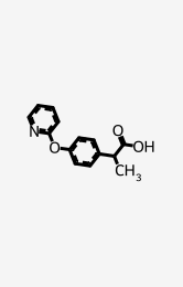 CC(C(=O)O)c1ccc(Oc2ccccn2)cc1